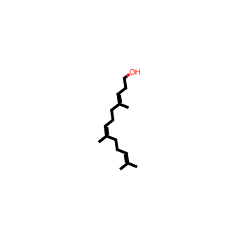 CC(C)=CCC/C(C)=C\CC/C(C)=C/CCO